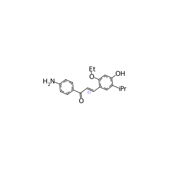 CCOc1cc(O)c(C(C)C)cc1/C=C/C(=O)c1ccc(N)cc1